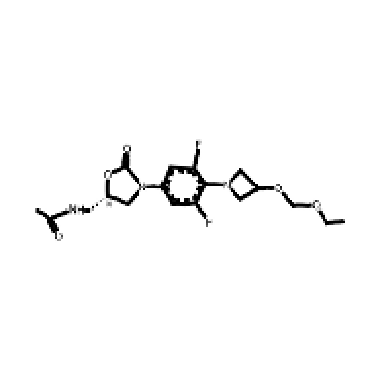 CCOCOC1CN(c2c(F)cc(N3C[C@H](CNC(C)=O)OC3=O)cc2F)C1